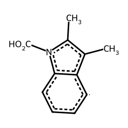 Cc1c(C)n(C(=O)O)c2ccc[c]c12